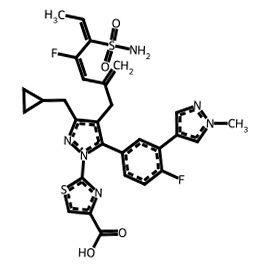 C=C(/C=C(F)\C(=C/C)S(N)(=O)=O)Cc1c(CC2CC2)nn(-c2nc(C(=O)O)cs2)c1-c1ccc(F)c(-c2cnn(C)c2)c1